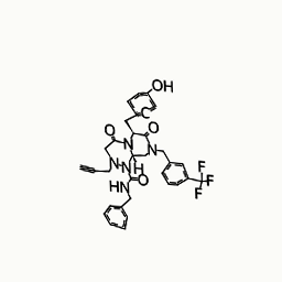 C#CCN1CC(=O)N2[C@@H](Cc3ccc(O)cc3)C(=O)N(Cc3cccc(C(F)(F)F)c3)C[C@@H]2N1C(=O)NCc1ccccc1